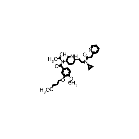 COCCCOc1cc(C(=O)N(C(C)C)[C@@H]2CC[C@H](CCN(C(=O)Cc3ccccn3)C3CC3)NC2)ccc1OC